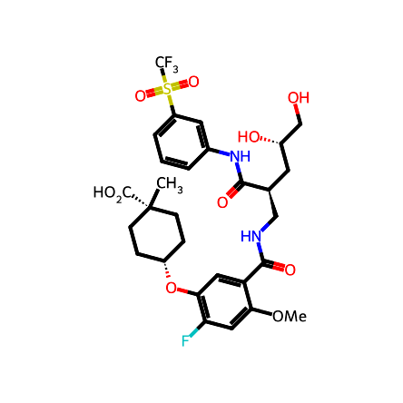 COc1cc(F)c(O[C@H]2CC[C@@](C)(C(=O)O)CC2)cc1C(=O)NC[C@H](C[C@H](O)CO)C(=O)Nc1cccc(S(=O)(=O)C(F)(F)F)c1